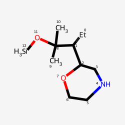 CCC(C1CNCCO1)C(C)(C)O[SiH3]